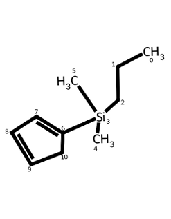 CCC[Si](C)(C)C1=CC=CC1